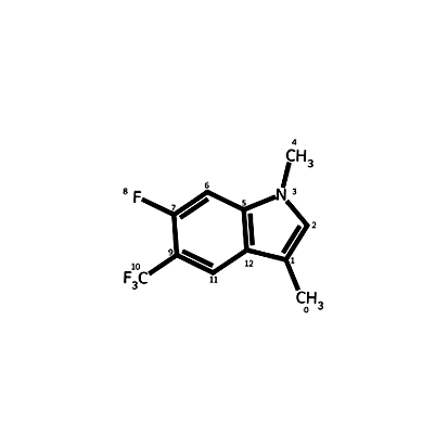 Cc1cn(C)c2cc(F)c(C(F)(F)F)cc12